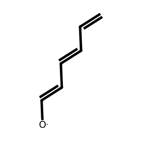 C=C/C=C/C=C/[O]